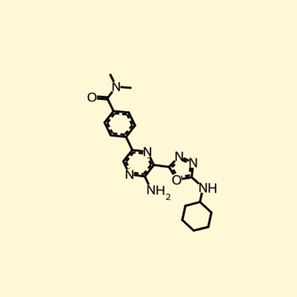 CN(C)C(=O)c1ccc(-c2cnc(N)c(-c3nnc(NC4CCCCC4)o3)n2)cc1